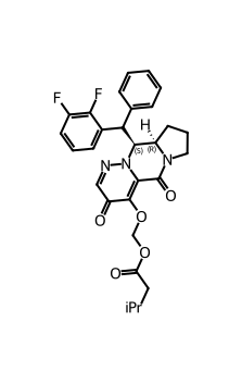 CC(C)CC(=O)OCOc1c2n(ncc1=O)[C@@H](C(c1ccccc1)c1cccc(F)c1F)[C@H]1CCCN1C2=O